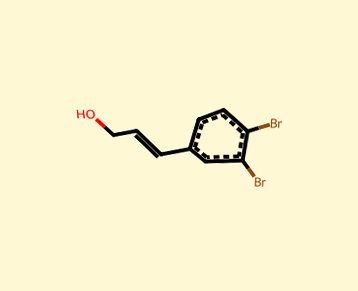 OC/C=C/c1ccc(Br)c(Br)c1